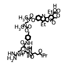 CCc1c2c(nc3ccc(OC(=O)N(C)CCN(C)C(=O)OCc4ccc(NC(=O)[C@H](CCCNC(=N)N)NC(=O)[C@@H](NC(=O)CCC(=O)C(C)C)C(C)C)cc4)cc13)-c1cc3c(c(=O)n1C2)COC(=O)[C@]3(O)CC